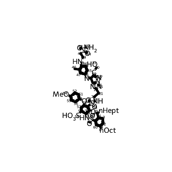 CCCCCCCCc1ccc(C(O)CCCCCCC)c(S(=O)(=O)Nc2cc(S(=O)(=O)NCCc3nc4n(n3)N=C(CCO)/C4=N\c3ccc(NCCS(N)(=O)=O)c(C)c3)c(Oc3ccc(OC)cc3)cc2S(=O)(=O)O)c1